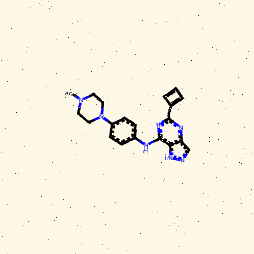 CC(=O)N1CCN(c2ccc(Nc3nc(C4=CC=C4)nc4cn[nH]c34)cc2)CC1